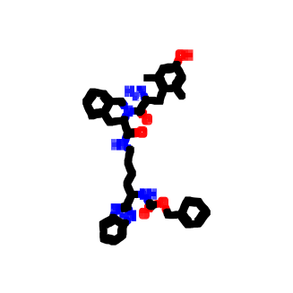 Cc1cc(O)cc(C)c1CC(N)C(=O)N1Cc2ccccc2CC1C(=O)NCCCCC(NC(=O)OCc1ccccc1)c1nc2ccccc2[nH]1